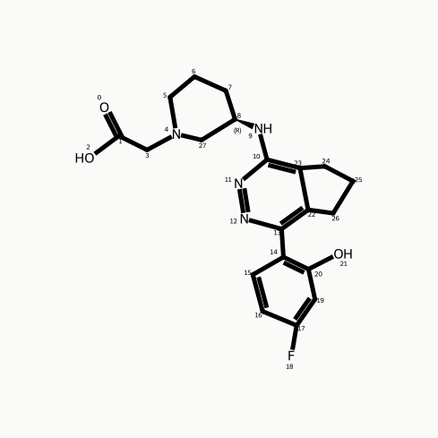 O=C(O)CN1CCC[C@@H](Nc2nnc(-c3ccc(F)cc3O)c3c2CCC3)C1